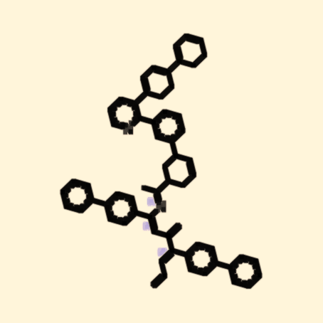 C=C/C=C(/C(=C)/C=C(\N=C(/C)C1CC=CC(c2cccc(-c3ncccc3C3=CC=C(C4=CC=CCC4)CC3)c2)C1)c1ccc(-c2ccccc2)cc1)c1ccc(-c2ccccc2)cc1